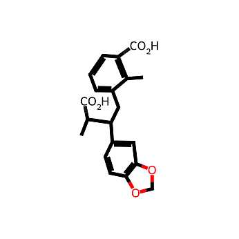 Cc1c(CC(c2ccc3c(c2)OCO3)C(C)C(=O)O)cccc1C(=O)O